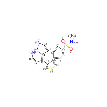 CN(C(C)(C)C)S(=O)(=O)c1cccc(-c2c[nH]c3nccc(-c4ccsc4)c23)c1